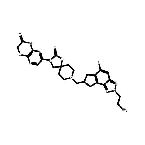 NCCn1nc2cc(F)c3c(c2n1)CC(CN1CCC2(CC1)CN(c1cnc4c(n1)NC(=O)CO4)C(=O)O2)C3